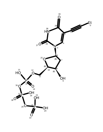 CCC#Cc1cn([C@H]2C[C@@H](O)[C@@H](COP(=O)(O)OP(=O)(O)OP(=O)(O)O)O2)c(=O)[nH]c1=O